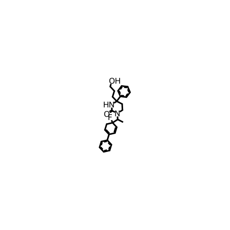 CC(N1CCC(CCCO)(c2ccccc2)NC1=O)C1(F)C=CC(c2ccccc2)=CC1